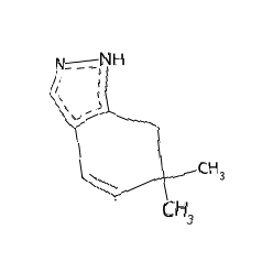 CC1(C)[C]=Cc2cn[nH]c2C1